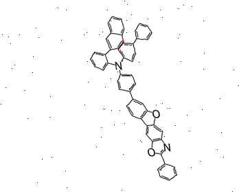 c1ccc(-c2ccc(N(c3ccc(-c4ccc5c(c4)oc4cc6nc(-c7ccccc7)oc6cc45)cc3)c3ccccc3-c3ccc4ccccc4c3)cc2)cc1